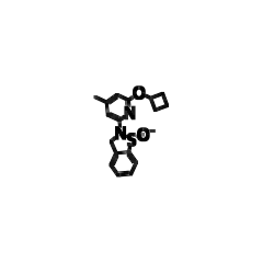 Cc1cc(OC2CCC2)nc(N2Cc3ccccc3[S+]2[O-])c1